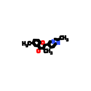 Cc1ccc2oc(-c3ccc4nc(C)cn4c3)c(C)c(=O)c2c1